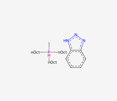 CCCCCCCC[PH](C)(CCCCCCCC)CCCCCCCC.c1ccc2[nH]nnc2c1